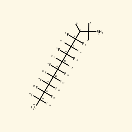 CC(C(C)(C)[SiH3])C(F)(F)C(F)(F)C(F)(F)C(F)(F)C(F)(F)C(F)(F)C(F)(F)C(F)(F)C(F)(F)C(F)(F)F